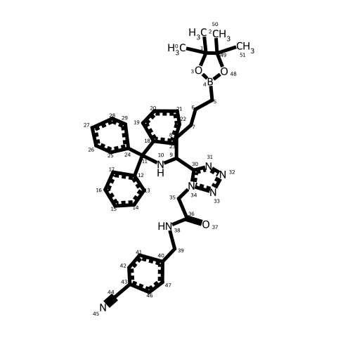 CC1(C)OB(CCCCC(NC(c2ccccc2)(c2ccccc2)c2ccccc2)c2nnnn2CC(=O)NCc2ccc(C#N)cc2)OC1(C)C